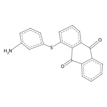 Nc1cccc(Sc2cccc3c2C(=O)c2ccccc2C3=O)c1